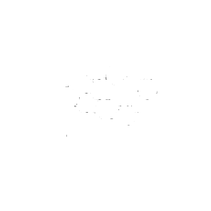 CCCCc1nc(O)c(C(=O)N2CC[C@H](c3ccccc3)C2)c(=O)n1[C@@H](C)c1ccccc1